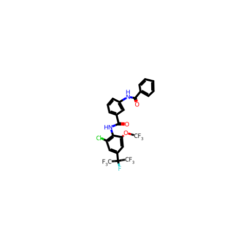 O=C(Nc1cccc(C(=O)Nc2c(Cl)cc(C(F)(C(F)(F)F)C(F)(F)F)cc2OC(F)(F)F)c1)c1ccccc1